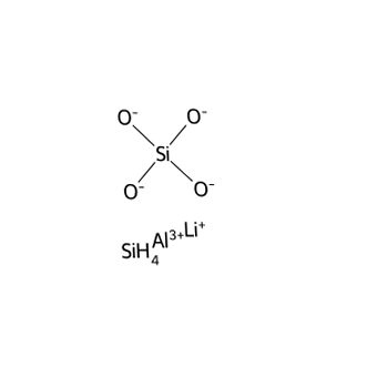 [Al+3].[Li+].[O-][Si]([O-])([O-])[O-].[SiH4]